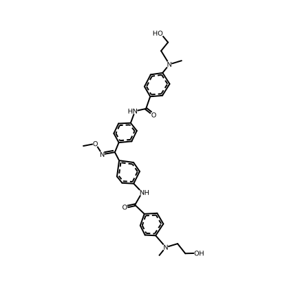 CON=C(c1ccc(NC(=O)c2ccc(N(C)CCO)cc2)cc1)c1ccc(NC(=O)c2ccc(N(C)CCO)cc2)cc1